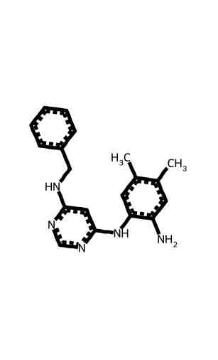 Cc1cc(N)c(Nc2cc(NCc3ccccc3)ncn2)cc1C